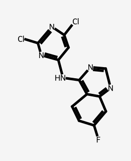 Fc1ccc2c(Nc3cc(Cl)nc(Cl)n3)ncnc2c1